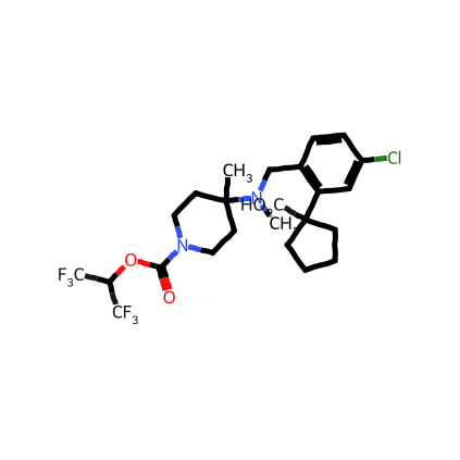 CN(Cc1ccc(Cl)cc1C1(C(=O)O)CCCC1)C1(C)CCN(C(=O)OC(C(F)(F)F)C(F)(F)F)CC1